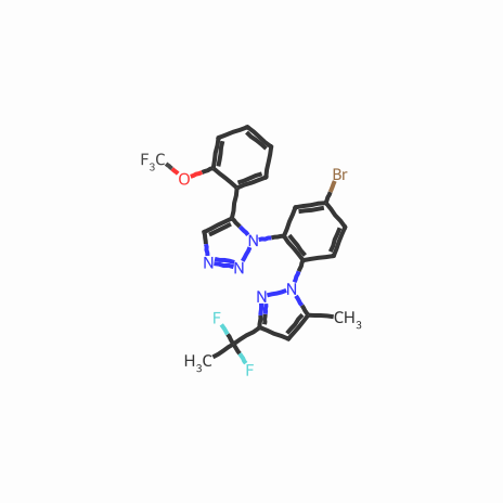 Cc1cc(C(C)(F)F)nn1-c1ccc(Br)cc1-n1nncc1-c1ccccc1OC(F)(F)F